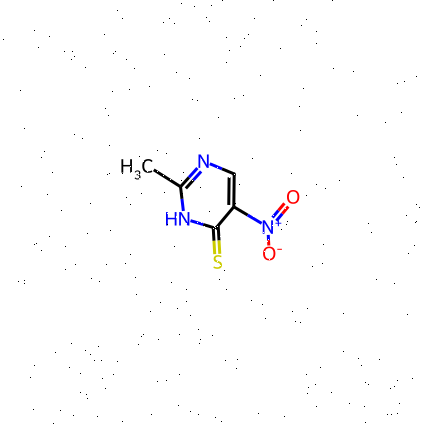 Cc1ncc([N+](=O)[O-])c(=S)[nH]1